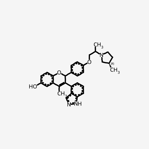 CC1=C(c2cccc3[nH]ncc23)C(c2ccc(OCC(C)N3CC[C@@H](C)C3)cc2)Oc2ccc(O)cc21